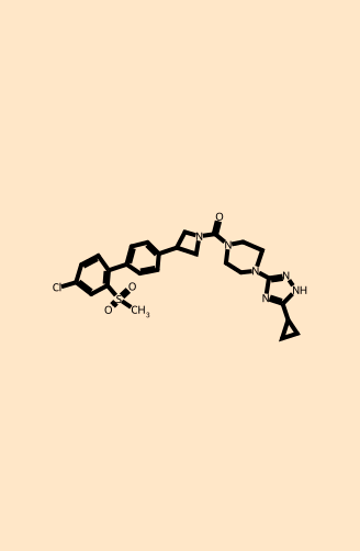 CS(=O)(=O)c1cc(Cl)ccc1-c1ccc(C2CN(C(=O)N3CCN(c4n[nH]c(C5CC5)n4)CC3)C2)cc1